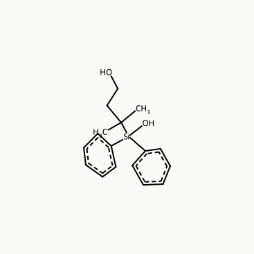 CC(C)(CCO)[Si](O)(c1ccccc1)c1ccccc1